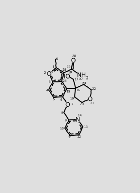 Cc1oc2ccc(OCc3ccccn3)c(C3(CO)CCOCC3)c2c1C(N)=O